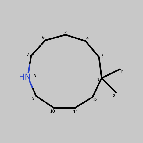 CC1(C)CCCCCNCCCC1